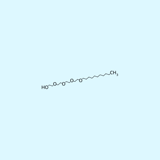 CCCCCCCCCCCOCCOCCOCCOCCO